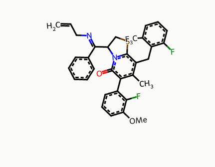 C=CC/N=C(\c1ccccc1)C1CSc2c(Cc3c(F)cccc3C(F)(F)F)c(C)c(-c3cccc(OC)c3F)c(=O)n21